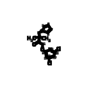 CC(C)(Cn1cccc1)C(=O)COc1cc(Cl)cc(Cl)n1